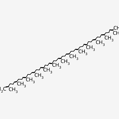 [CH2]/C=C(\C)CC/C=C(\C)CC/C=C(\C)CC/C=C(\C)CC/C=C(\C)CC/C=C(\C)CC/C=C(\C)CC/C=C(\C)CC/C=C(\C)CC/C=C(\C)CC/C=C(\C)CC/C=C(\C)CCC=C(C)C